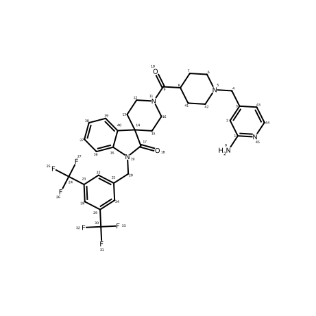 Nc1cc(CN2CCC(C(=O)N3CCC4(CC3)C(=O)N(Cc3cc(C(F)(F)F)cc(C(F)(F)F)c3)c3ccccc34)CC2)ccn1